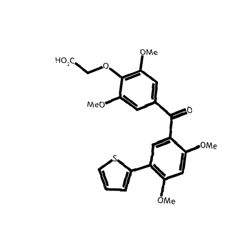 COc1cc(OC)c(-c2cccs2)cc1C(=O)c1cc(OC)c(OCC(=O)O)c(OC)c1